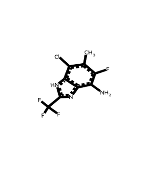 Cc1c(F)c(N)c2nc(C(F)(F)F)[nH]c2c1Cl